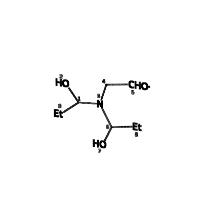 CCC(O)N(C[C]=O)C(O)CC